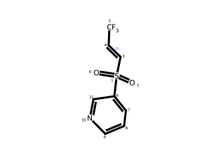 O=S(=O)(/C=C/C(F)(F)F)c1cccnc1